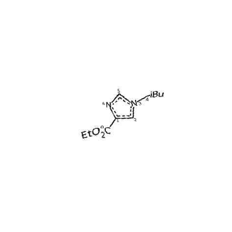 CCOC(=O)c1cn(C(C)CC)cn1